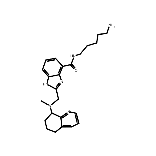 CN(Cc1nc2c(C(=O)NCCCCCN)cccc2[nH]1)C1CCCc2cccnc21